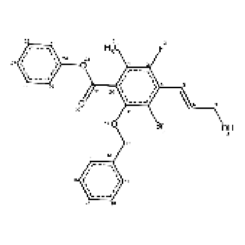 Cc1c(F)c(C=CCO)c(Br)c(OCc2ccccc2)c1C(=O)Oc1ccccc1